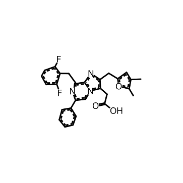 Cc1cc(Cc2nc3c(Cc4c(F)cccc4F)nc(-c4ccccc4)cn3c2CC(=O)O)oc1C